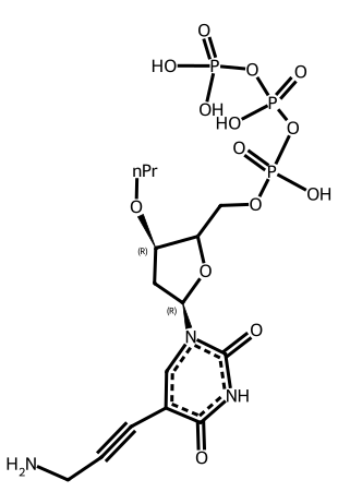 CCCO[C@@H]1C[C@H](n2cc(C#CCN)c(=O)[nH]c2=O)OC1COP(=O)(O)OP(=O)(O)OP(=O)(O)O